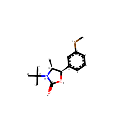 CSc1cccc([C@H]2OC(=O)N(C(C)(C)C)[C@H]2C)c1